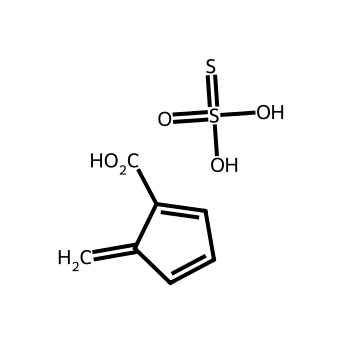 C=C1C=CC=C1C(=O)O.O=S(O)(O)=S